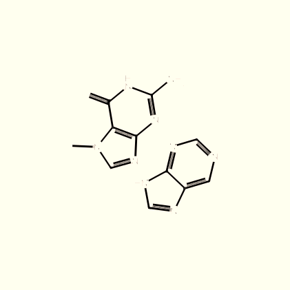 Cn1cnc2nc(N)[nH]c(=O)c21.c1ncc2nc[nH]c2n1